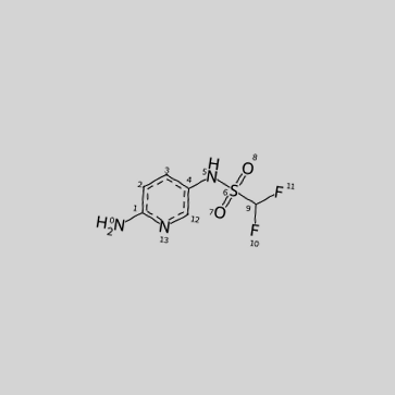 Nc1ccc(NS(=O)(=O)C(F)F)cn1